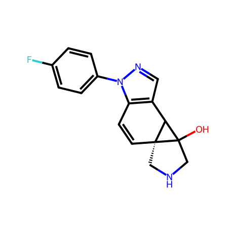 OC12CNC[C@@]13C=Cc1c(cnn1-c1ccc(F)cc1)C23